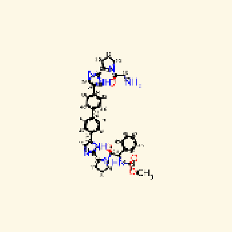 COC(=O)N[C@@H](C(=O)N1CCC[C@H]1c1ncc(-c2ccc(-c3ccc(-c4cnc([C@@H]5CCCN5C(=O)CN)[nH]4)cc3)cc2)[nH]1)c1ccccc1